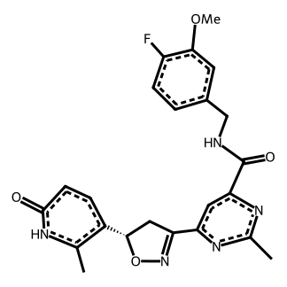 COc1cc(CNC(=O)c2cc(C3=NO[C@H](c4ccc(=O)[nH]c4C)C3)nc(C)n2)ccc1F